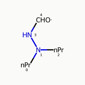 CCCN(CCC)N[C]=O